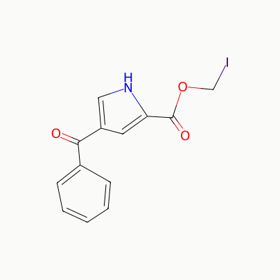 O=C(c1ccccc1)c1c[nH]c(C(=O)OCI)c1